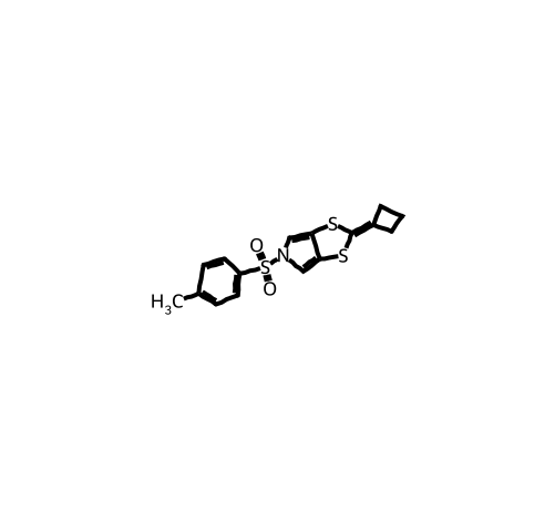 Cc1ccc(S(=O)(=O)n2cc3c(c2)SC(=C2CCC2)S3)cc1